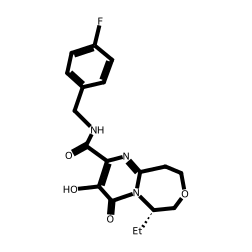 CC[C@H]1COCCc2nc(C(=O)NCc3ccc(F)cc3)c(O)c(=O)n21